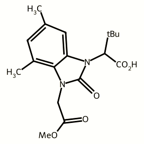 COC(=O)Cn1c(=O)n(C(C(=O)O)C(C)(C)C)c2cc(C)cc(C)c21